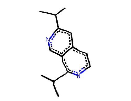 CC(C)c1cc2ccnc(C(C)C)c2cn1